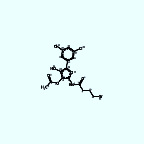 CC(=O)Oc1c(NC(=O)CCCBr)oc(-c2cc(Cl)cc(Cl)c2)c1O